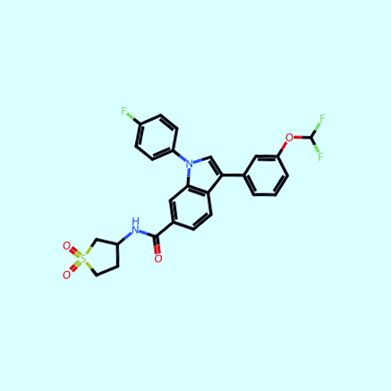 O=C(NC1CCS(=O)(=O)C1)c1ccc2c(-c3cccc(OC(F)F)c3)cn(-c3ccc(F)cc3)c2c1